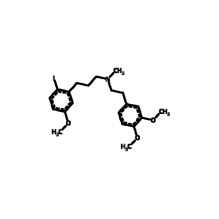 COc1ccc(I)c(CCCN(C)CCc2ccc(OC)c(OC)c2)c1